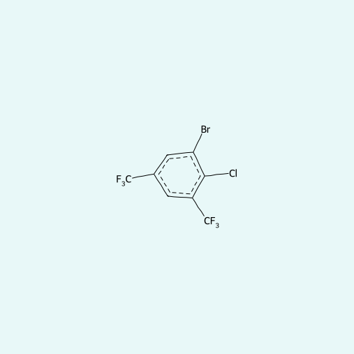 FC(F)(F)c1cc(Br)c(Cl)c(C(F)(F)F)c1